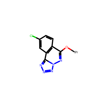 CC(C)Oc1nn2nnnc2c2cc(Cl)ccc12